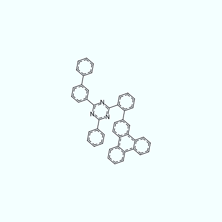 c1ccc(-c2cccc(-c3nc(-c4ccccc4)nc(-c4ccccc4-c4ccc5c6ccccc6c6ccccc6c5c4)n3)c2)cc1